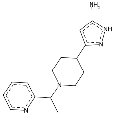 CC(c1ccccn1)N1CCC(c2cc(N)[nH]n2)CC1